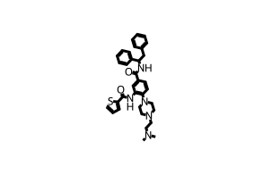 CN(C)CCN1CCN(c2ccc(C(=O)NC(Cc3ccccc3)c3ccccc3)cc2NC(=O)c2cccs2)CC1